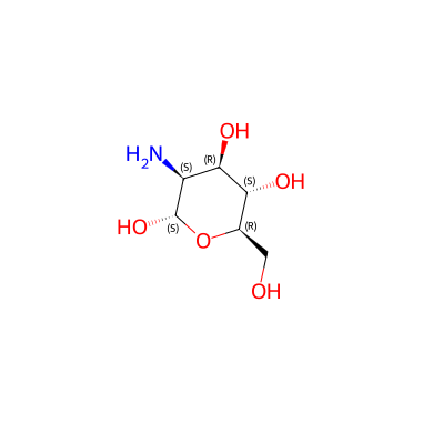 N[C@H]1[C@@H](O)[C@H](O)[C@@H](CO)O[C@@H]1O